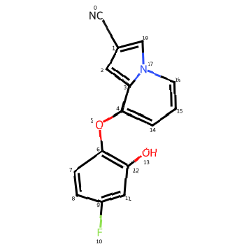 N#Cc1cc2c(Oc3ccc(F)cc3O)cccn2c1